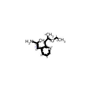 CCOC(C)Cc1ncccc1/C=C(\C)N